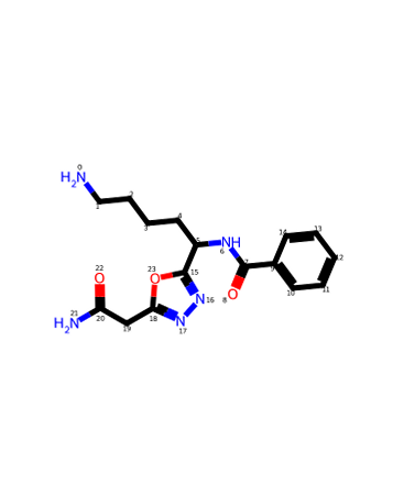 NCCCCC(NC(=O)c1ccccc1)c1nnc(CC(N)=O)o1